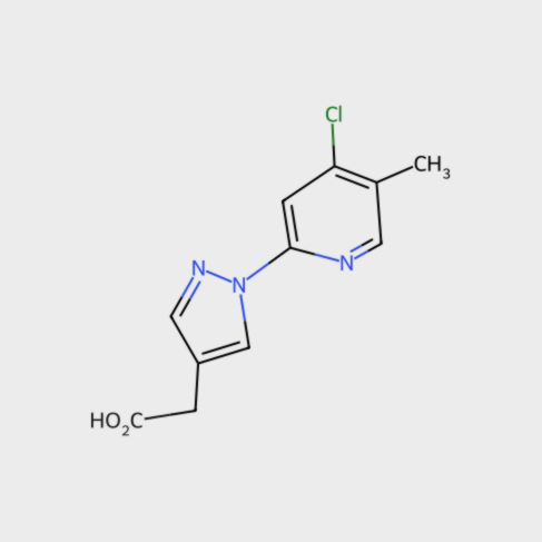 Cc1cnc(-n2cc(CC(=O)O)cn2)cc1Cl